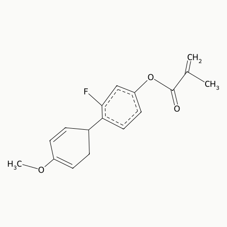 C=C(C)C(=O)Oc1ccc(C2C=CC(OC)=CC2)c(F)c1